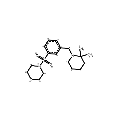 CC1(C)CCCCN1Cc1cccc(S(=O)(=O)N2CCOCC2)c1